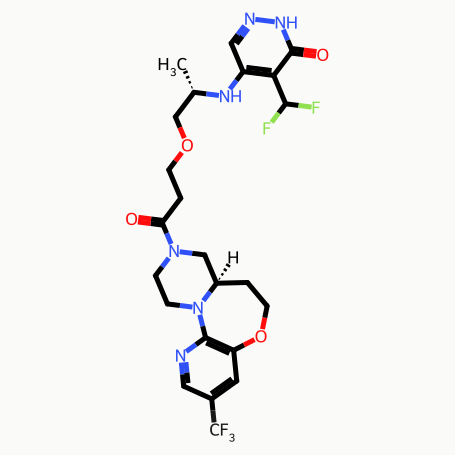 C[C@@H](COCCC(=O)N1CCN2c3ncc(C(F)(F)F)cc3OCC[C@@H]2C1)Nc1cn[nH]c(=O)c1C(F)F